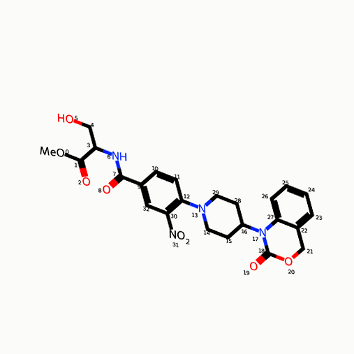 COC(=O)C(CO)NC(=O)c1ccc(N2CCC(N3C(=O)OCc4ccccc43)CC2)c([N+](=O)[O-])c1